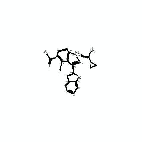 NC(=O)C1CC1.O=C(O)c1ccc2[nH]nc(-c3cc4ccccc4o3)c2c1F